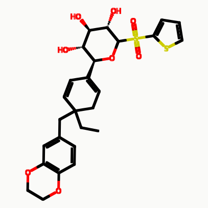 CCC1(Cc2ccc3c(c2)OCCO3)C=CC([C@@H]2OC(S(=O)(=O)c3cccs3)[C@@H](O)[C@H](O)[C@H]2O)=CC1